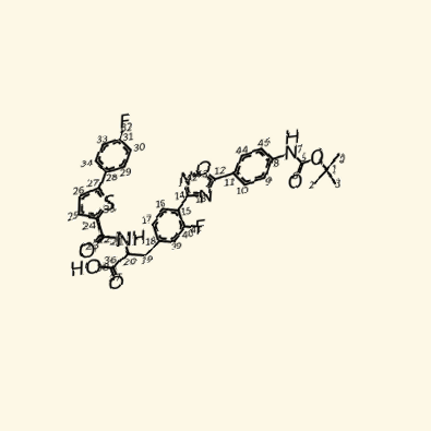 CC(C)(C)OC(=O)Nc1ccc(-c2nc(-c3ccc(CC(NC(=O)c4ccc(-c5ccc(F)cc5)s4)C(=O)O)cc3F)no2)cc1